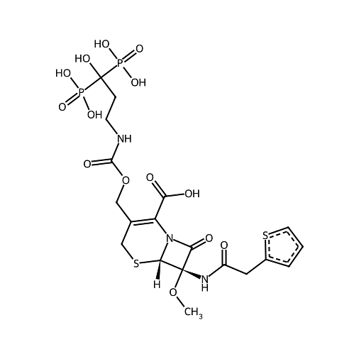 CO[C@@]1(NC(=O)Cc2cccs2)C(=O)N2C(C(=O)O)=C(COC(=O)NCCC(O)(P(=O)(O)O)P(=O)(O)O)CS[C@H]21